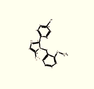 COc1ccccc1Cn1c(C)cnc1-c1ccc(I)cc1